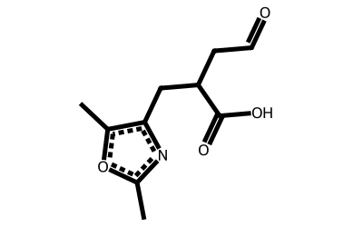 Cc1nc(CC(CC=O)C(=O)O)c(C)o1